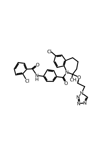 CC1(OCCn2cnnn2)CCCc2cc(Cl)ccc2N1C(=O)c1ccc(NC(=O)c2ccccc2Cl)cc1